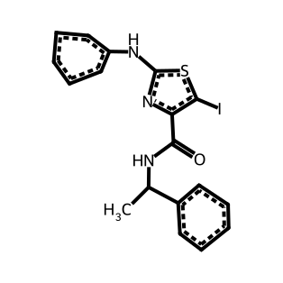 CC(NC(=O)c1nc(Nc2ccccc2)sc1I)c1ccccc1